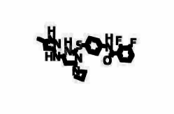 Cc1cc(NC2C=C(N3CCC3)N=C(Sc3ccc(NC(=O)c4cccc(F)c4F)cc3)N2)n[nH]1